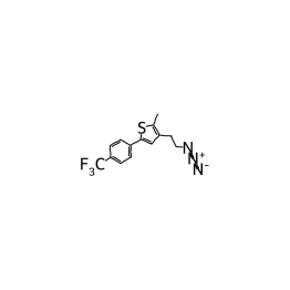 Cc1sc(-c2ccc(C(F)(F)F)cc2)cc1CCN=[N+]=[N-]